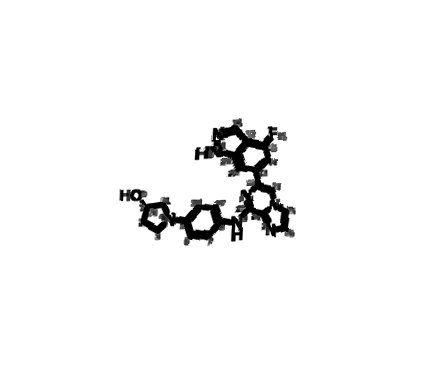 O[C@H]1CCN(c2ccc(Nc3nc(-c4cc(F)c5cn[nH]c5c4)cn4ccnc34)cc2)C1